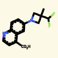 CC1(C(F)F)CN(c2ccc3nccc(C(=O)O)c3c2)C1